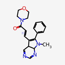 CN1C(c2ccccc2)=C(/C=C/C(=O)N2CCOCC2)C2C=NC=NC21